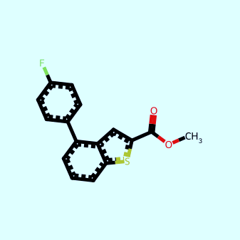 COC(=O)c1cc2c(-c3ccc(F)cc3)cccc2s1